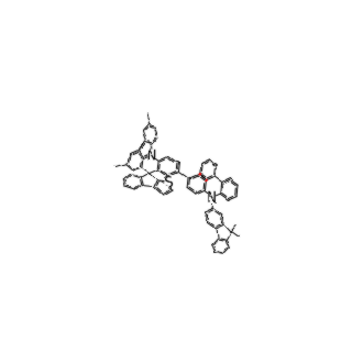 Cc1ccc2c(c1)c1cc(C)cc3c1n2-c1ccc(-c2ccc(N(c4ccc5c(c4)C(C)(C)c4ccccc4-5)c4ccccc4-c4ccccc4)cc2)cc1C31c2ccccc2-c2ccsc21